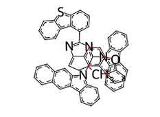 CC1C/C=C(c2ccc3oc4ccccc4c3c2-n2c3ccccc3c3cc4ccccc4cc32)/N=C(c2cccc3sc4ccccc4c23)\N=C/1n1c2ccccc2c2ccccc21